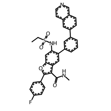 CCS(=O)(=O)Nc1cc2oc(-c3ccc(F)cc3)c(C(=O)NC)c2cc1-c1cccc(-c2ccc3cnccc3c2)c1